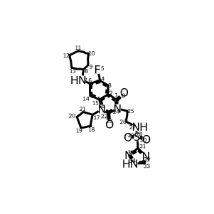 O=c1c2cc(F)c(NC3CCCCC3)cc2n(C2CCCC2)c(=O)n1CCNS(=O)(=O)c1nc[nH]n1